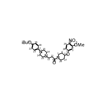 COc1cc(OC2CCN(C(=O)CCN3CCN(c4ccc(OCC(C)C)cc4)CC3)CC2)ccc1[N+](=O)[O-]